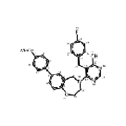 COc1ccc(-c2ccc3c(c2)CN(c2ncnc(C)c2Cc2ccc(F)cc2)CCO3)cc1